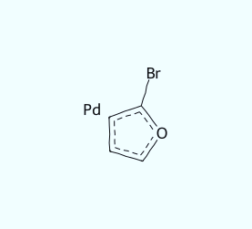 Brc1ccco1.[Pd]